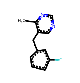 Cc1ncn[c]c1Cc1cccc(F)c1